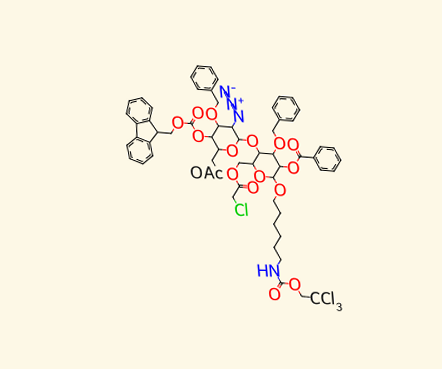 CC(=O)OCC1OC(OC2C(COC(=O)CCl)OC(OCCCCCCNC(=O)OCC(Cl)(Cl)Cl)C(OC(=O)c3ccccc3)C2OCc2ccccc2)C(N=[N+]=[N-])C(OCc2ccccc2)C1OC(=O)OCC1c2ccccc2-c2ccccc21